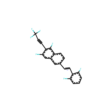 Fc1cc2cc(/C=C/c3c(F)cccc3F)ccc2c(F)c1C#CC(F)(F)F